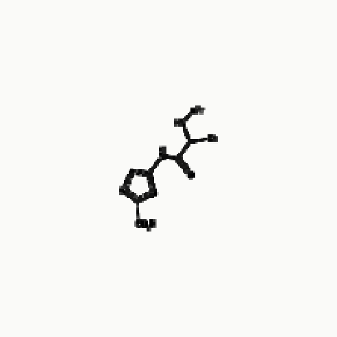 CCCNC(CC)C(=O)Nc1csc(C(=O)O)c1